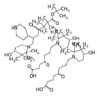 CC(C)(C)OC(=O)C(C)(C)C(C)(C)C(=O)CC(CN1CCC(O)C(C)(C)C1(C)C)C1CCNCC1.CC1(C)C(O)CCN(CCCC(=O)CCC(=O)O)C1(C)C.CC1(C)C(O)CCN(CCCC(=O)CCCC(=O)O)C1(C)C